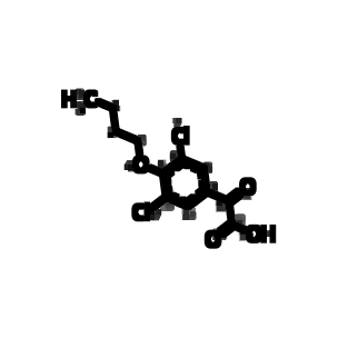 CCCCOc1c(Cl)cc(C(=O)C(=O)O)cc1Cl